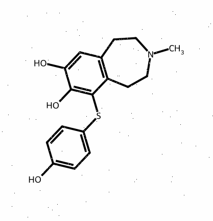 CN1CCc2cc(O)c(O)c(Sc3ccc(O)cc3)c2CC1